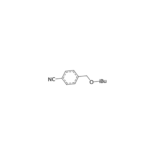 CCC(C)OCc1ccc(C#N)cc1